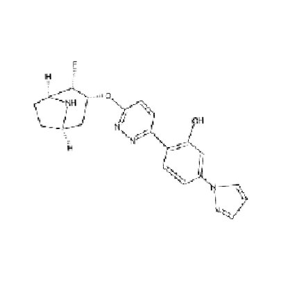 Oc1cc(-n2cccn2)ccc1-c1ccc(O[C@@H]2C[C@H]3CC[C@H](N3)[C@@H]2F)nn1